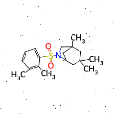 Cc1cccc(S(=O)(=O)N2CC3(C)CC2CC(C)(C)C3)c1C